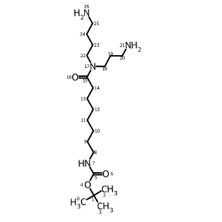 CC(C)(C)OC(=O)NCCCCCCCC(=O)N(CCCN)CCCCN